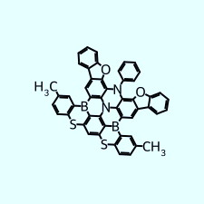 Cc1ccc2c(c1)B1c3cc4c(oc5ccccc54)c4c3N3c5c1c(cc1c5B(c5cc(C)ccc5S1)c1cc5c(oc6ccccc65)c(c13)N4c1ccccc1)S2